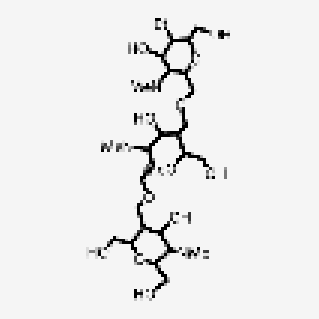 CCC1C(CO)OC(COCC(C(CO)OC)C(O)C(CCOCC2C(CO)OC(CO)C(NC)C2O)NC)C(NC)C1O